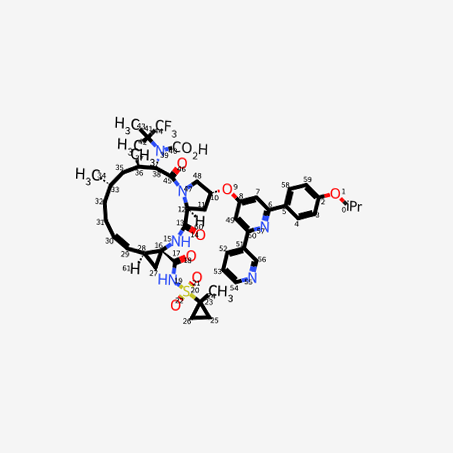 CC(C)Oc1ccc(-c2cc(O[C@@H]3C[C@H]4C(=O)N[C@]5(C(=O)NS(=O)(=O)C6(C)CC6)C[C@H]5C=CCC[C@H](C)C[C@@H](C)[C@H](N(C(=O)O)C(C)(C)C(F)(F)F)C(=O)N4C3)cc(-c3cccnc3)n2)cc1